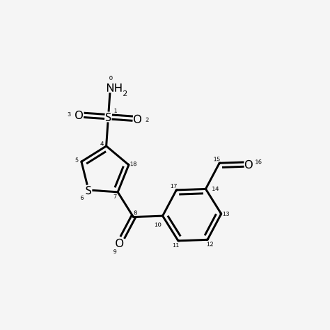 NS(=O)(=O)c1csc(C(=O)c2cccc(C=O)c2)c1